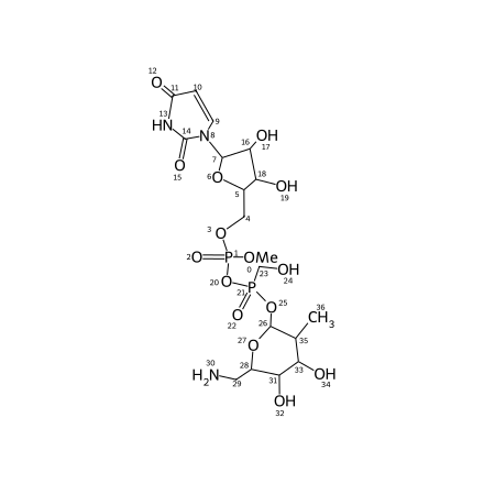 COP(=O)(OCC1OC(n2ccc(=O)[nH]c2=O)C(O)C1O)OP(=O)(CO)OC1OC(CN)C(O)C(O)C1C